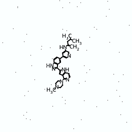 C=C(CC(C)C)Nc1cncc(-c2ccc3[nH]nc(-c4cc5c(N6CCN(C)CC6)nccc5[nH]4)c3c2)c1